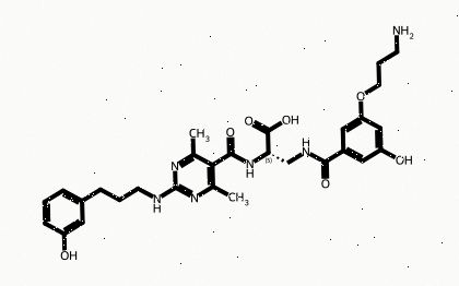 Cc1nc(NCCCc2cccc(O)c2)nc(C)c1C(=O)N[C@@H](CNC(=O)c1cc(O)cc(OCCCN)c1)C(=O)O